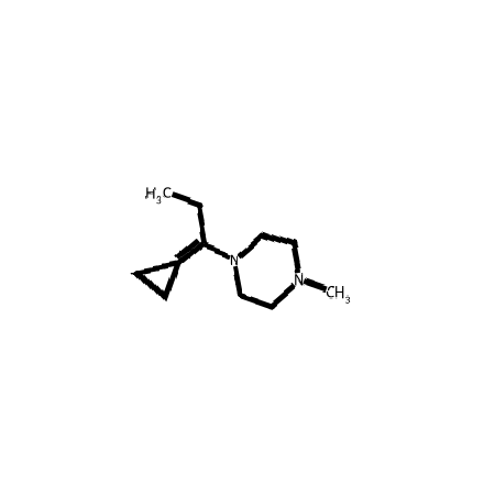 CCC(=C1CC1)N1CCN(C)CC1